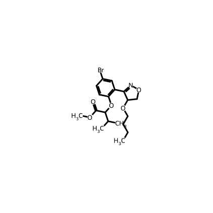 CCCCOC1CON=C1c1cc(Br)ccc1OC(C(=O)OC)C(C)C